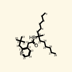 CCCCCCC(C)(BC(=O)Cc1cccbc1CC(C)(C)C)CCCCCC